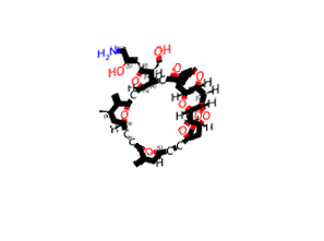 C=C1C[C@@H]2CCC34C[C@H]5O[C@H]6[C@@H](O3)[C@H]3OC(CC[C@@H]3O[C@H]6[C@H]5O4)CC(=O)C[C@@H]3[C@@H](CO)[C@@H](C[C@H](O)CN)O[C@H]3CC3O[C@@H](CCC1O2)C[C@@H](C)C3=C